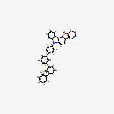 C1=CC2=C(CC1)OC1C2=CC=C2C1c1ccccc1N2c1ccc(-c2cccc(-c3cccc4c3sc3ccccc34)c2)cc1